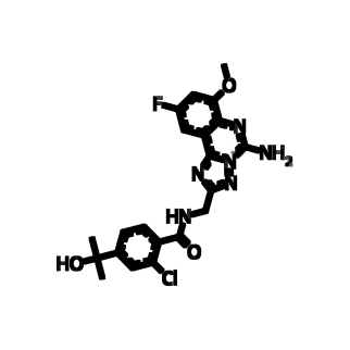 COc1cc(F)cc2c1nc(N)n1nc(CNC(=O)c3ccc(C(C)(C)O)cc3Cl)nc21